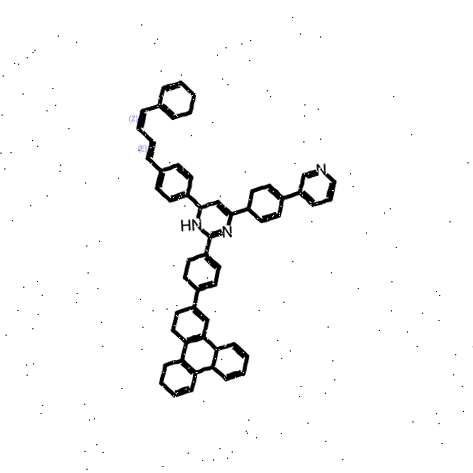 C1=CC2C3=C(CCC=C3)C3=C(C=C(C4=CC=C(C5=NC(C6C=CC(c7cccnc7)=CC6)=CC(c6ccc(/C=C/C=C\C7=CCCC=C7)cc6)N5)CC4)CC3)C2C=C1